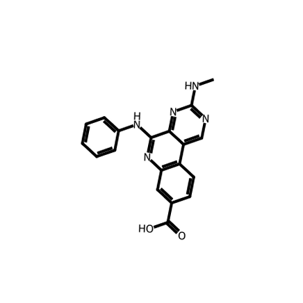 CNc1ncc2c(n1)c(Nc1ccccc1)nc1cc(C(=O)O)ccc12